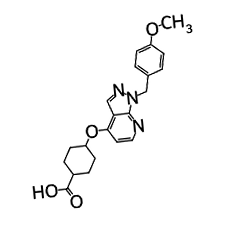 COc1ccc(Cn2ncc3c(OC4CCC(C(=O)O)CC4)ccnc32)cc1